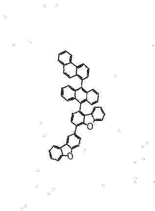 c1ccc2c(c1)ccc1c(-c3c4ccccc4c(-c4ccc(-c5ccc6oc7ccccc7c6c5)c5oc6ccccc6c45)c4ccccc34)cccc12